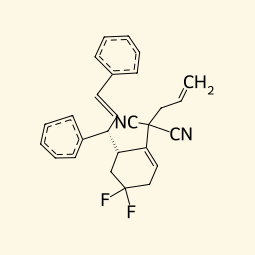 C=CCC(C#N)(C#N)C1=CCC(F)(F)CC1[C@@H](/C=C/c1ccccc1)c1ccccc1